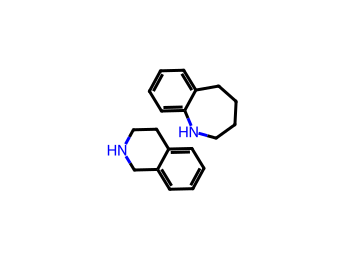 c1ccc2c(c1)CCCCN2.c1ccc2c(c1)CCNC2